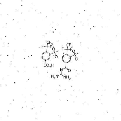 CS(=O)(=O)c1cc(C(=O)N=C(N)N)ccc1C(F)(F)C(F)(F)F.CS(=O)(=O)c1cc(C(=O)O)ccc1C(F)(F)C(F)(F)F